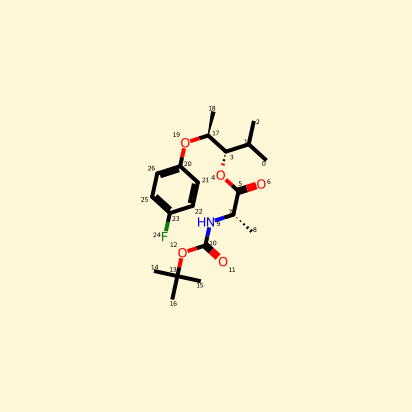 CC(C)[C@H](OC(=O)[C@H](C)NC(=O)OC(C)(C)C)[C@H](C)Oc1ccc(F)cc1